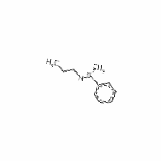 CCC[N][C@H](C)c1ccccc1